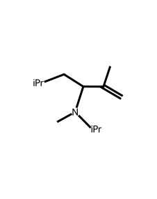 C=C(C)C(CC(C)C)N(C)C(C)C